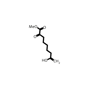 C=C(O)CCCCCC(=O)C(=O)OC